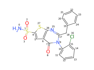 NS(=O)(=O)c1cc2c(=O)n(-c3ccccc3Cl)c(Cc3ccccc3)nc2s1